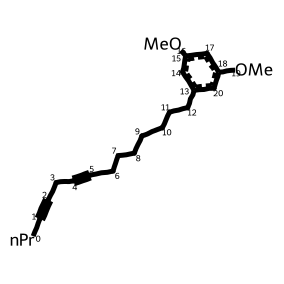 CCCC#CCC#CCCCCCCCc1cc(OC)cc(OC)c1